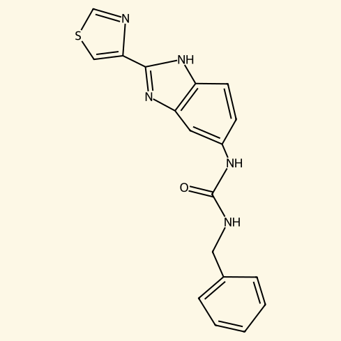 O=C(NCc1ccccc1)Nc1ccc2[nH]c(-c3cscn3)nc2c1